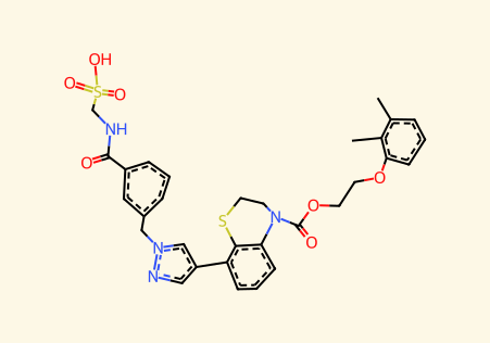 Cc1cccc(OCCOC(=O)N2CCSc3c(-c4cnn(Cc5cccc(C(=O)NCS(=O)(=O)O)c5)c4)cccc32)c1C